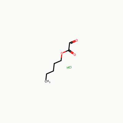 CCCCCOC(=O)C=O.Cl